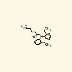 CCCCCC(O)CN(c1ccccc1CC)c1ccccc1CC